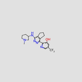 CN1CCCC(Nc2nnc(-c3ncc(C(F)(F)F)cc3O)c3c2CCC3)C1